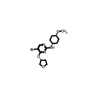 CO[C@H]1CC[C@@H](Nc2ncc(Br)c(O[C@@H]3CCOC3)n2)CC1